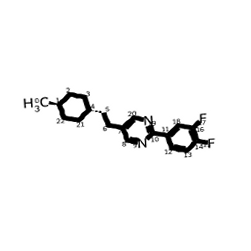 C[C@H]1CC[C@H](CCc2cnc(-c3ccc(F)c(F)c3)nc2)CC1